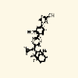 C[C@]12CCC[C@H](C[C@@H](N(c3cnc(-c4ccc(-n5cnc(C#N)n5)cc4O)nn3)C3CC3)[C@H]1F)C2